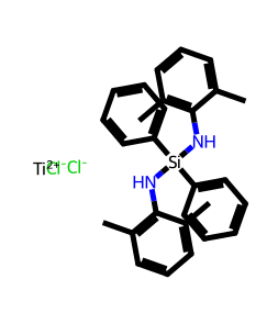 Cc1cccc(C)c1N[Si](Nc1c(C)cccc1C)(c1ccccc1)c1ccccc1.[Cl-].[Cl-].[Ti+2]